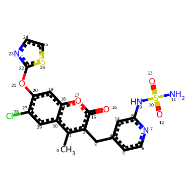 Cc1c(Cc2ccnc(NS(N)(=O)=O)c2)c(=O)oc2cc(Oc3nccs3)c(Cl)cc12